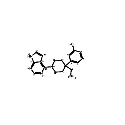 NCC1(c2cccc(Cl)c2)CCN(c2ncnc3[nH]ccc23)CC1